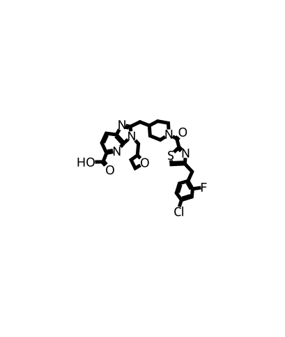 O=C(O)c1ccc2nc(CC3CCN(C(=O)c4nc(Cc5ccc(Cl)cc5F)cs4)CC3)n(CC3CCO3)c2n1